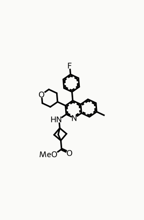 COC(=O)C12CC(Nc3nc4cc(C)ccc4c(-c4ccc(F)cc4)c3C3CCOCC3)(C1)C2